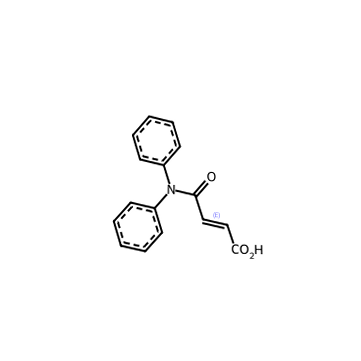 O=C(O)/C=C/C(=O)N(c1ccccc1)c1ccccc1